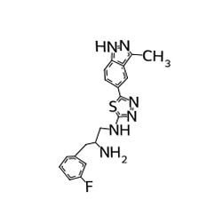 Cc1n[nH]c2ccc(-c3nnc(NCC(N)Cc4cccc(F)c4)s3)cc12